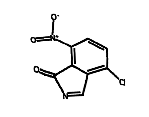 O=C1N=Cc2c(Cl)ccc([N+](=O)[O-])c21